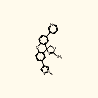 Cn1cc(-c2ccc3c(c2)[C@]2(COC(N)=N2)c2cc(-c4cccnc4)ccc2O3)cn1